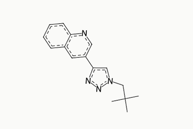 CC(C)(C)Cn1cc(-c2cnc3ccccc3c2)nn1